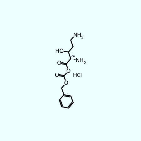 Cl.NCCC(O)[C@H](N)C(=O)OC(=O)OCc1ccccc1